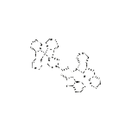 c1ccc2c(c1)-c1ccccc1C21c2ccccc2-c2cc(-c3nc(-n4c5ccccc5c5cc6ccccc6cc54)c4c(n3)oc3ccccc34)ccc21